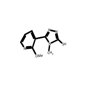 COc1ncccc1-c1nnc(S)n1C